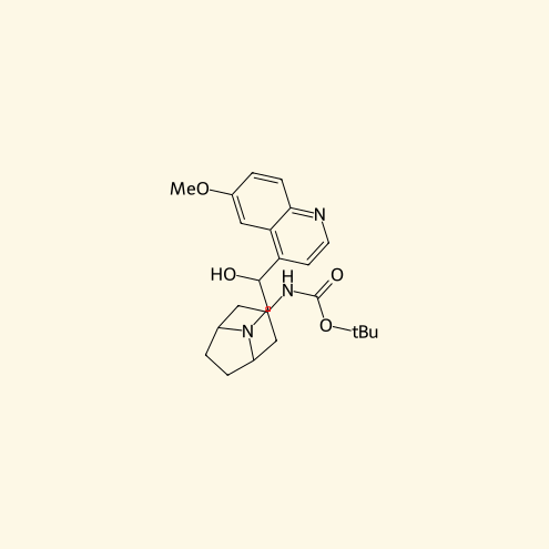 COc1ccc2nccc(C(O)CN3C4CCC3CC(NC(=O)OC(C)(C)C)C4)c2c1